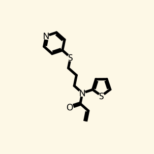 C=CC(=O)N(CCCSc1ccncc1)c1cccs1